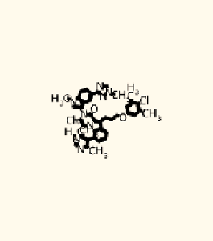 Cc1cc(OCCCc2c3n(c4c(-c5c(C)ncnc5C)cccc24)C(C)[C@@H](Cl)N(c2cn(C)c4ccc(-c5ncn(C)n5)cc24)C3=O)cc(C)c1Cl